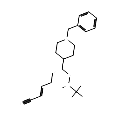 CC(C)(C)[S@@+]([O-])N[C@H](CCC=CC#N)C1CCN(Cc2ccccc2)CC1